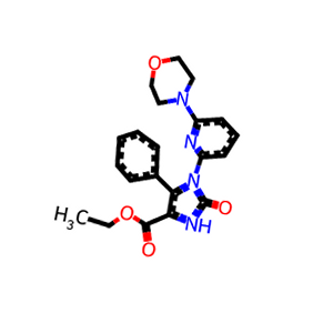 CCOC(=O)c1[nH]c(=O)n(-c2cccc(N3CCOCC3)n2)c1-c1ccccc1